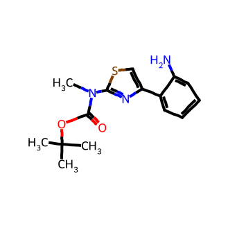 CN(C(=O)OC(C)(C)C)c1nc(-c2ccccc2N)cs1